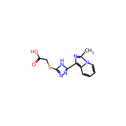 Cc1nc(-c2nnc(SCC(=O)O)[nH]2)c2ccccn12